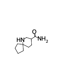 NC(=O)C1CCC2(CCCC2)NC1